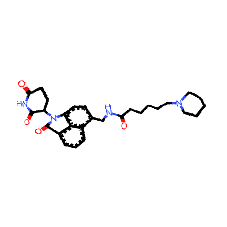 O=C(CCCCCN1CCCCC1)NCc1ccc2c3c(cccc13)C(=O)N2C1CCC(=O)NC1=O